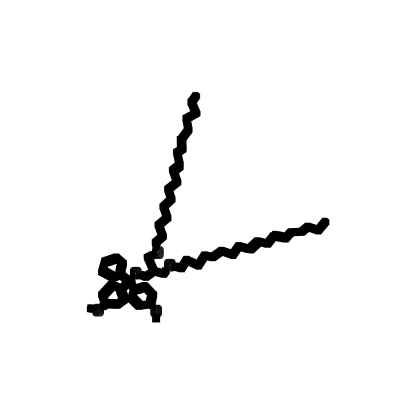 CCCCCC=CCC=CCCCCCCCCOCC(COCCCCCCCCC=CCC=CCCCCC)COC(c1ccccc1)(c1ccc(OC)cc1)c1ccc(OC)cc1